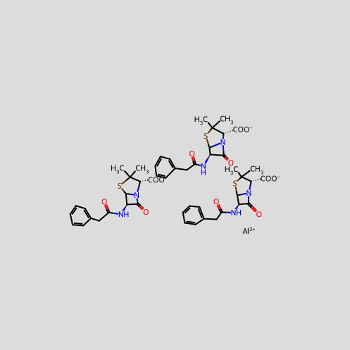 CC1(C)SC2[C@H](NC(=O)Cc3ccccc3)C(=O)N2[C@H]1C(=O)[O-].CC1(C)SC2[C@H](NC(=O)Cc3ccccc3)C(=O)N2[C@H]1C(=O)[O-].CC1(C)SC2[C@H](NC(=O)Cc3ccccc3)C(=O)N2[C@H]1C(=O)[O-].[Al+3]